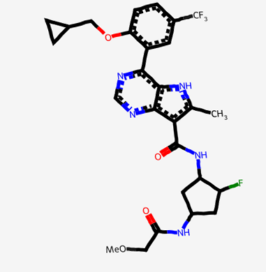 COCC(=O)NC1CC(F)C(NC(=O)c2c(C)[nH]c3c(-c4cc(C(F)(F)F)ccc4OCC4CC4)ncnc23)C1